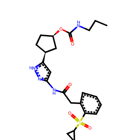 CCCNC(=O)O[C@@H]1CC[C@H](c2cc(NC(=O)Cc3ccccc3S(=O)(=O)C3CC3)n[nH]2)C1